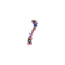 O=C(NCCOCCOCCOCCn1cc(CN2C(=O)C=CC2=O)nn1)Oc1ccc([N+](=O)[O-])cc1